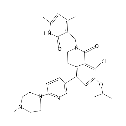 Cc1cc(C)c(CN2CCc3c(-c4ccc(N5CCN(C)CC5)nc4)cc(OC(C)C)c(Cl)c3C2=O)c(=O)[nH]1